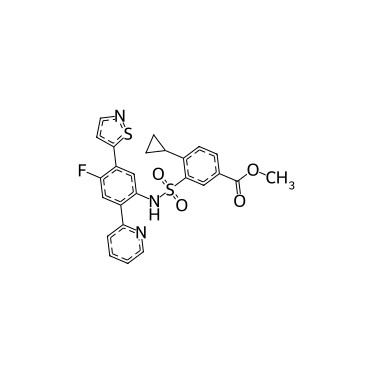 COC(=O)c1ccc(C2CC2)c(S(=O)(=O)Nc2cc(-c3ccns3)c(F)cc2-c2ccccn2)c1